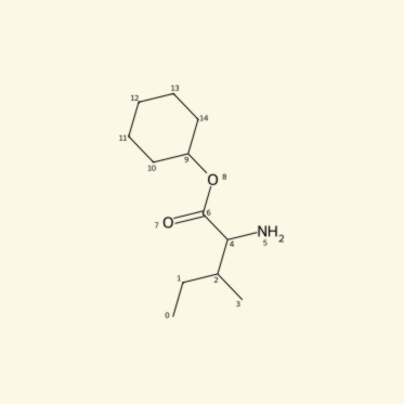 CCC(C)C(N)C(=O)OC1CCCCC1